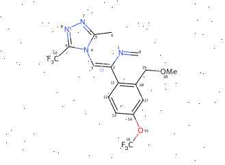 C=N/C(=C\n1c(C)nnc1C(F)(F)F)c1ccc(OC(F)(F)F)cc1COC